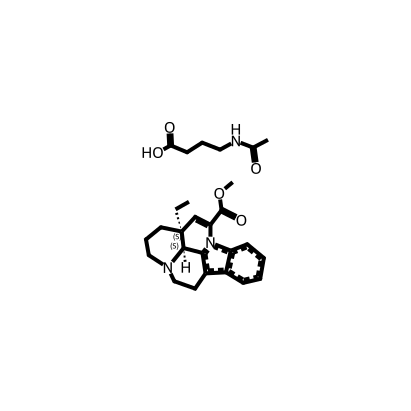 CC(=O)NCCCC(=O)O.CC[C@@]12C=C(C(=O)OC)n3c4c(c5ccccc53)CCN(CCC1)[C@H]42